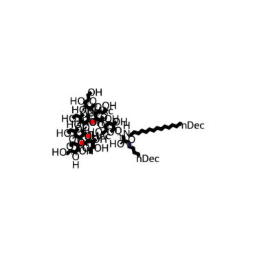 CCCCCCCCCCCCC/C=C/[C@@H](O)[C@H](CO[C@@H]1OC(CO)[C@@H](O[C@@H]2OC(CO)[C@H](O[C@@H]3OC(CO)[C@H](O)[C@H](O)C3NC(C)=O)[C@H](O[C@H]3OC(CO)[C@H](O)[C@H](O[C@@H]4OC(CO)[C@@H](O[C@@H]5OC(CO)[C@H](O)[C@H](O)C5O)[C@H](O[C@H]5OC(C)[C@@H](O)C(O)[C@@H]5O)C4NC(C)=O)C3O)C2O)[C@H](O)C1O)NC(=O)CCCCCCCCCCCCCCCCCCCCCCC